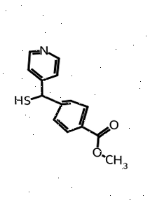 COC(=O)c1ccc(C(S)c2ccncc2)cc1